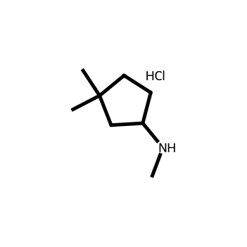 CNC1CCC(C)(C)C1.Cl